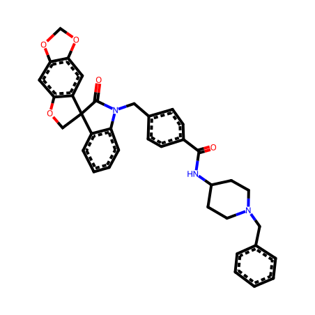 O=C(NC1CCN(Cc2ccccc2)CC1)c1ccc(CN2C(=O)C3(COc4cc5c(cc43)OCO5)c3ccccc32)cc1